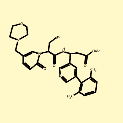 COC(=O)C[C@H](NC(=O)C(CC(C)C)n1cc(CN2CCOCC2)ccc1=O)c1cncc(-c2c(C)cccc2C)c1